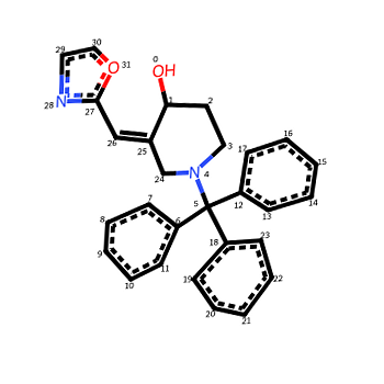 OC1CCN(C(c2ccccc2)(c2ccccc2)c2ccccc2)CC1=Cc1ncco1